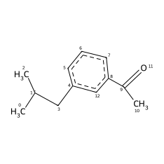 C[C](C)Cc1cccc(C(C)=O)c1